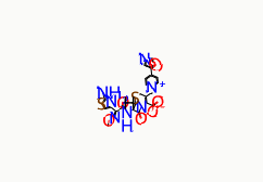 CON=C(C(=O)N[C@@H]1C(=O)N2C(C(=O)[O-])=C(C[n+]3ccc(-c4cnco4)cc3)CS[C@@H]12)c1csc(N)n1